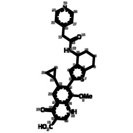 COc1c(-c2cc3c(s2)CCCC3NC(=O)Cc2ccncc2)c(C2CC2)cc2c(=O)c(C(=O)O)c[nH]c12